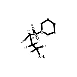 CC(F)(F)C(F)(F)C(F)(F)S(=O)(=O)N1CCCCC1